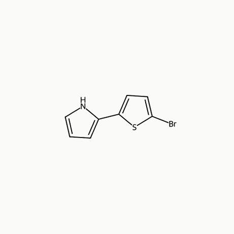 Brc1ccc(-c2ccc[nH]2)s1